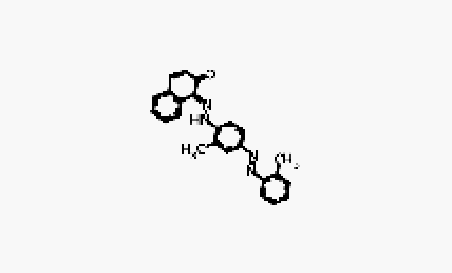 Cc1ccccc1/N=N/c1ccc(N/N=C2/C(=O)C=Cc3ccccc32)c(C)c1